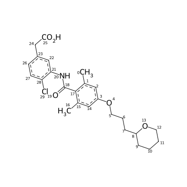 Cc1cc(OCCCC2CCCCO2)cc(C)c1C(=O)Nc1cc(CC(=O)O)ccc1Cl